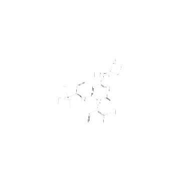 C/C=C\C(=C(/C)Cl)n1c(=O)nc(N[C@@H]2CC[C@H]2O)c2ccc(C(F)(F)F)nc21